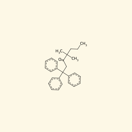 CCCC(C)(C)C(=O)CC(c1ccccc1)(c1ccccc1)c1ccccc1